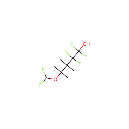 CC(C)(OC(F)F)C(C)(C)C(F)(F)C(O)(F)F